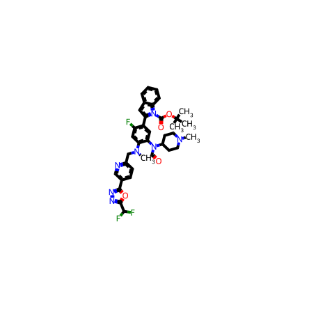 CN1CCC(N(C=O)c2cc(-c3cc4ccccc4n3C(=O)OC(C)(C)C)c(F)cc2N(C)Cc2ccc(-c3nnc(C(F)F)o3)cn2)CC1